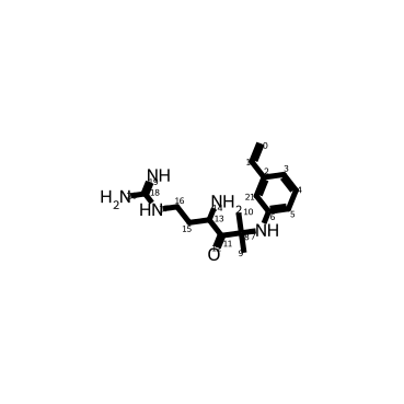 C=Cc1cccc(NC(C)(C)C(=O)C(N)CCNC(=N)N)c1